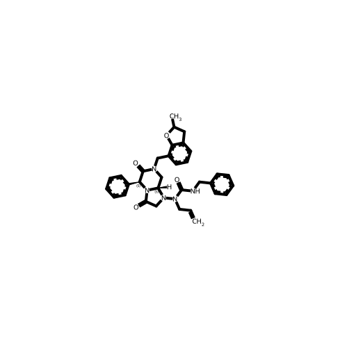 C=CCN(C(=O)NCc1ccccc1)N1CC(=O)N2[C@@H](c3ccccc3)C(=O)N(Cc3cccc4c3OC(C)C4)C[C@@H]21